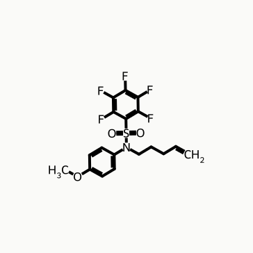 C=CCCCN(c1ccc(OC)cc1)S(=O)(=O)c1c(F)c(F)c(F)c(F)c1F